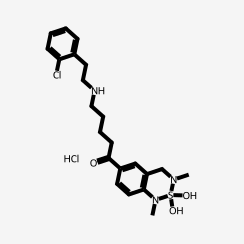 CN1Cc2cc(C(=O)CCCCNCCc3ccccc3Cl)ccc2N(C)S1(O)O.Cl